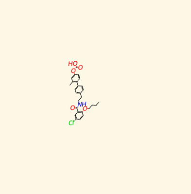 CCCCOc1ccc(Cl)cc1C(=O)NCCc1ccc(-c2ccc(OC(=O)O)cc2C)cc1